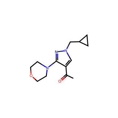 CC(=O)c1cn(CC2CC2)nc1N1CCOCC1